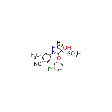 CC(O)(CS(=O)(=O)O)C(=O)Nc1ccc(C#N)c(C(F)(F)F)c1.Fc1ccccc1